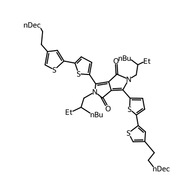 CCCCCCCCCCCCc1csc(-c2ccc(C3=C4C(=O)N(CC(CC)CCCC)C(c5ccc(-c6cc(CCCCCCCCCCCC)cs6)s5)=C4C(=O)N3CC(CC)CCCC)s2)c1